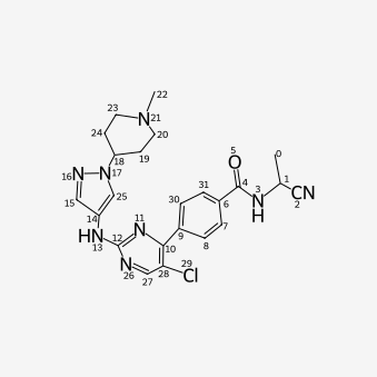 CC(C#N)NC(=O)c1ccc(-c2nc(Nc3cnn(C4CCN(C)CC4)c3)ncc2Cl)cc1